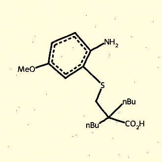 CCCCC(CCCC)(CSc1cc(OC)ccc1N)C(=O)O